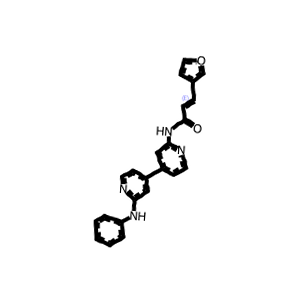 O=C(/C=C/c1ccoc1)Nc1cc(-c2ccnc(Nc3ccccc3)c2)ccn1